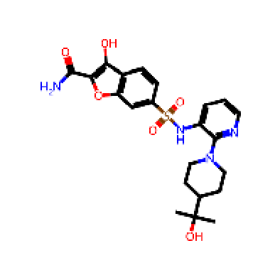 CC(C)(O)C1CCN(c2ncccc2NS(=O)(=O)c2ccc3c(O)c(C(N)=O)oc3c2)CC1